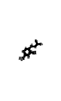 Nc1ncc(OCC(F)F)c(Cl)n1